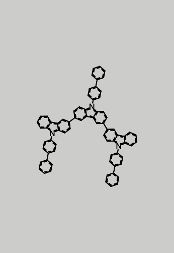 c1ccc(-c2ccc(-n3c4ccccc4c4cc(-c5ccc6c(c5)c5cc(-c7ccc8c(c7)c7ccccc7n8-c7ccc(-c8ccccc8)cc7)ccc5n6-c5ccc(-c6ccccc6)cc5)ccc43)cc2)cc1